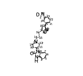 O=c1[nH]c2ccccc2n1C1CCN(CCCc2cc(-c3cccc([N+](=O)[O-])c3)no2)CC1